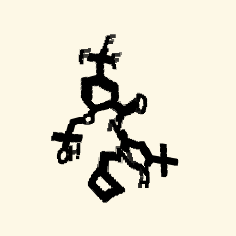 CC(C)(O)COc1ccc(C(F)(F)F)cc1C(=O)/N=c1\cc(C(C)(C)C)[nH]n1CC1CCC1